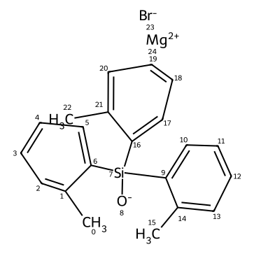 Cc1ccccc1[Si]([O-])(c1ccccc1C)c1ccccc1C.[Br-].[Mg+2]